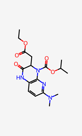 CCOC(=O)CC1C(=O)Nc2ccc(N(C)C)nc2N1C(=O)OC(C)C